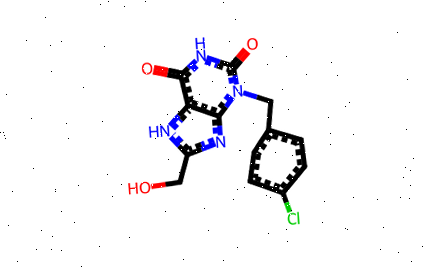 O=c1[nH]c(=O)n(Cc2ccc(Cl)cc2)c2nc(CO)[nH]c12